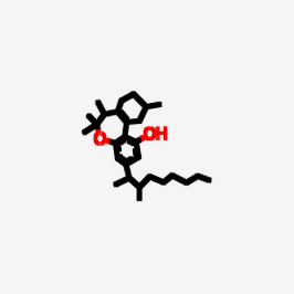 CCCCCCC(C)C(C)c1cc(O)c2c(c1)OC(C)(C)C(C)C1=C2CC(C)CC1